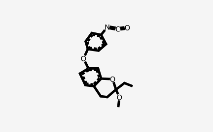 CCC1(OC)CCc2ccc(Oc3ccc(N=C=O)cc3)cc2O1